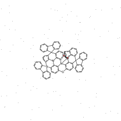 c1ccc2c(c1)-c1ccccc1C21c2cccc3c2N2c4c(ccc5c4[N+]4(c6c(ccc7c6-n6c8c(cccc8c8ccc[n+]4c86)C74c6ccccc6-c6ccccc64)O5)[n+]4cccc1c42)[Si]31c2ccccc2-c2ccccc21